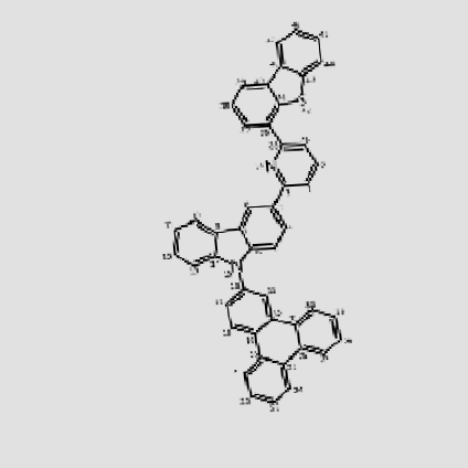 c1cc(-c2ccc3c(c2)c2ccccc2n3-c2ccc3c4ccccc4c4ccccc4c3c2)nc(-c2cccc3c2sc2ccccc23)c1